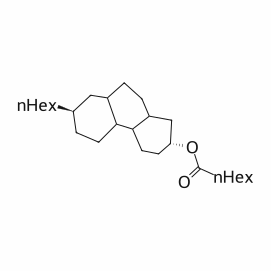 CCCCCCC(=O)O[C@@H]1CCC2C(CCC3C[C@H](CCCCCC)CCC32)C1